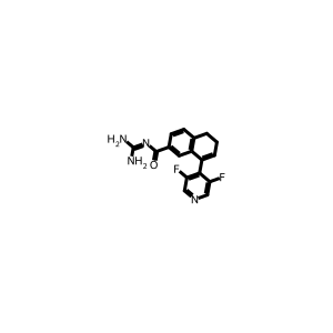 NC(N)=NC(=O)c1ccc2c(c1)C(c1c(F)cncc1F)=CCC2